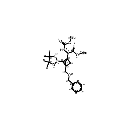 CC(C)(C)OC(=O)NN(C(=O)OC(C)(C)C)C12CC(COCc3ccccc3)(C1)C2B1OC(C)(C)C(C)(C)O1